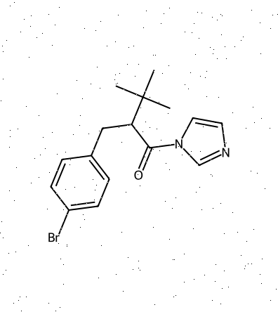 CC(C)(C)C(Cc1ccc(Br)cc1)C(=O)n1ccnc1